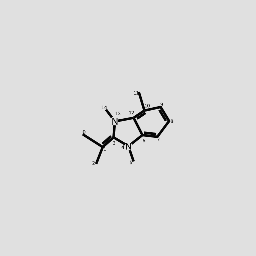 CC(C)=C1N(C)c2cccc(C)c2N1C